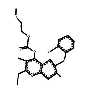 CCc1nc2cc(C)c(Oc3ccccc3Br)cc2c(OC(=O)OCCOC)c1C